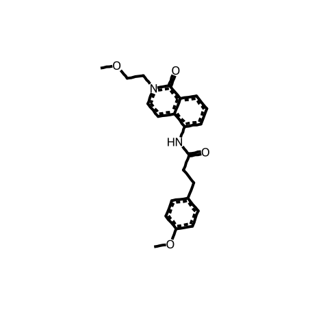 COCCn1ccc2c(NC(=O)CCc3ccc(OC)cc3)cccc2c1=O